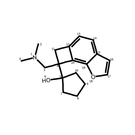 CN(C)CC1(C2(O)CCCC2)Cc2ccc3ccoc3c21